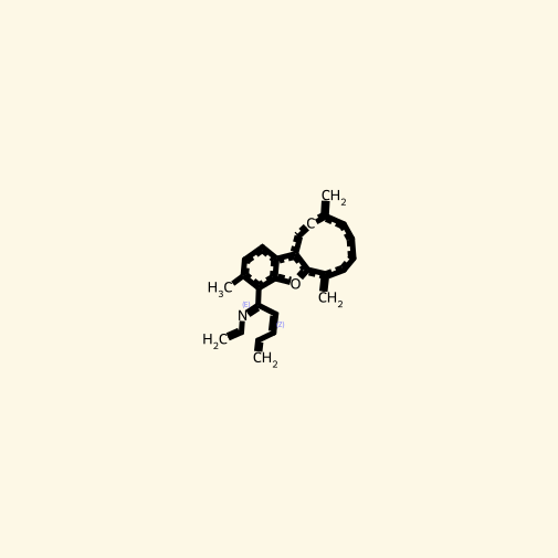 C=C/C=C\C(=N/C=C)c1c(C)ccc2c1oc1c(=C)ccccc(=C)ccc12